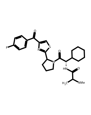 CNC(C)C(=O)N[C@H](C(=O)N1CCCC1c1nc(C(=O)c2ccc(F)cc2)cs1)C1CCCCC1